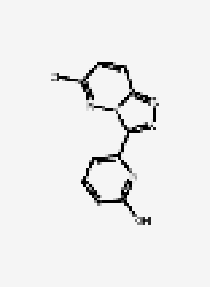 Oc1cccc(-c2nnc3ccc(Cl)nn23)n1